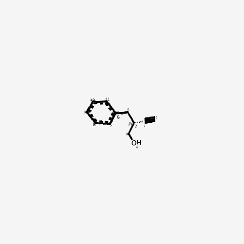 C#C[C@H](CO)Cc1ccccc1